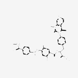 CC(C)OC(=O)C(Cc1ccc(-n2c(=O)c3ccncc3n(C)c2=O)cc1)NC(=O)c1cc(F)c(N[S+]([O-])c2ccc(C(=O)NC(C)(C)C)cc2)cc1F